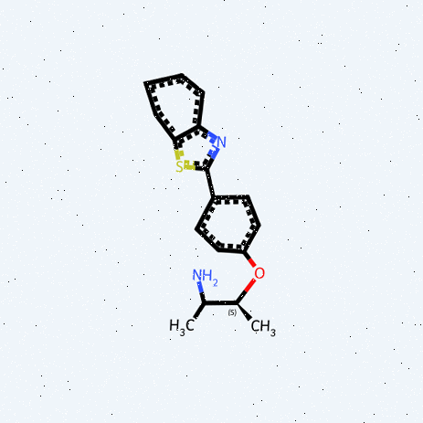 CC(N)[C@H](C)Oc1ccc(-c2nc3ccccc3s2)cc1